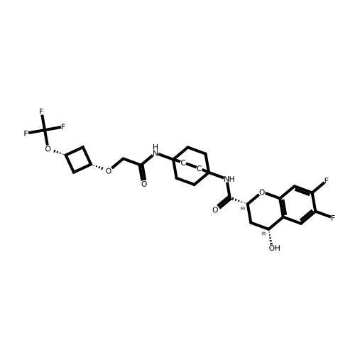 O=C(CO[C@H]1C[C@@H](OC(F)(F)F)C1)NC12CCC(NC(=O)[C@H]3C[C@@H](O)c4cc(F)c(F)cc4O3)(CC1)CC2